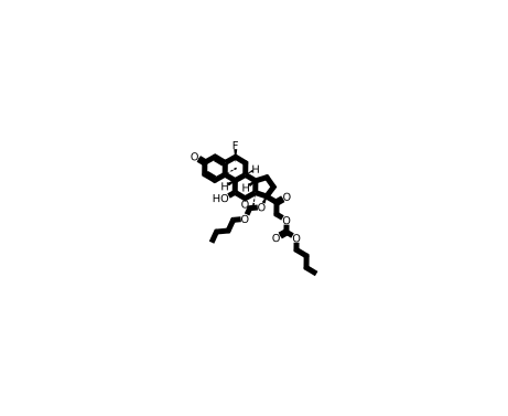 CCCCOC(=O)OCC(=O)[C@@]1(OC(=O)OCCCC)CC[C@H]2[C@@H]3C[C@H](F)C4=CC(=O)C=C[C@]4(C)[C@H]3C(O)C[C@@]21C